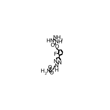 N=C(N)NC(=O)OCc1cccc(-c2cnc(NCCS(N)(=O)=O)nc2)c1F